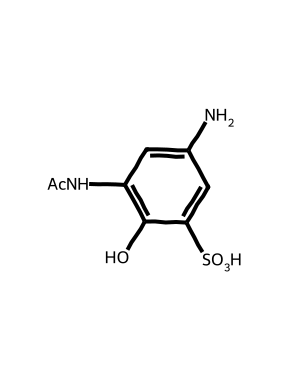 CC(=O)Nc1cc(N)cc(S(=O)(=O)O)c1O